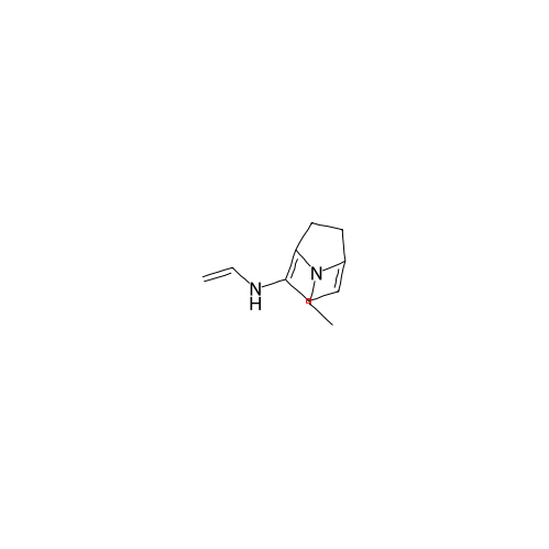 C=CNC1=C2CCC(=CC1)N2CC